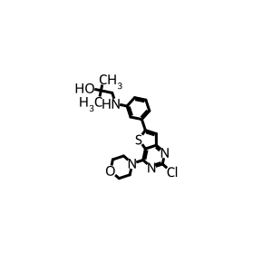 CC(C)(O)CNc1cccc(-c2cc3nc(Cl)nc(N4CCOCC4)c3s2)c1